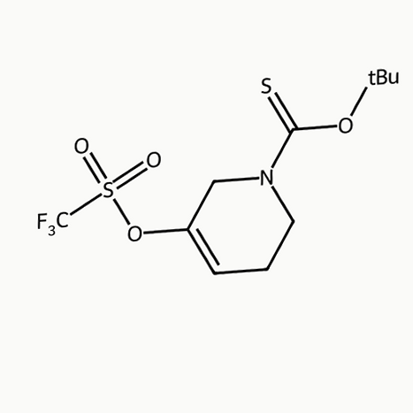 CC(C)(C)OC(=S)N1CCC=C(OS(=O)(=O)C(F)(F)F)C1